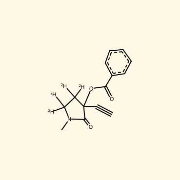 [2H]C1([2H])N(C)C(=O)C(C#C)(OC(=O)c2ccccc2)C1([2H])[2H]